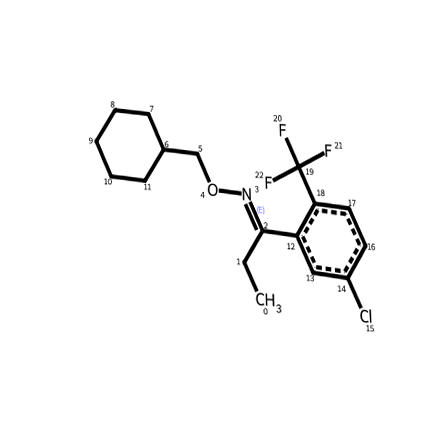 CC/C(=N\OCC1CCCCC1)c1cc(Cl)ccc1C(F)(F)F